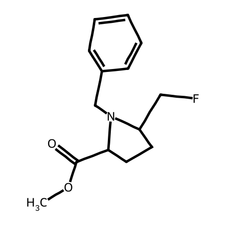 COC(=O)C1CCC(CF)N1Cc1ccccc1